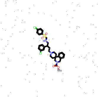 CC(C)(C)OC(=O)N1Cc2ccccc2C2(CCN(CCC(CNCS(=O)(=O)c3ccc(Cl)cc3)c3cccc(Cl)c3)CC2)C1